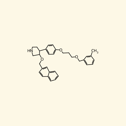 Cc1cccc(COCCCOc2ccc(C3CCNCC3OCc3ccc4ccccc4c3)cc2)c1